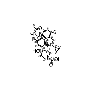 CC(=O)N(C)Cc1ccc(Cl)c(CN(C(=O)[C@H]2CN(C(=O)O)CC[C@]2(O)c2ccc(F)c(F)c2)C2CC2)c1